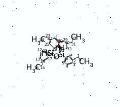 CCc1cccc([SiH](O[SiH](c2cccc(CC)c2)c2cccc(CC)c2)c2cccc(CC)c2)c1